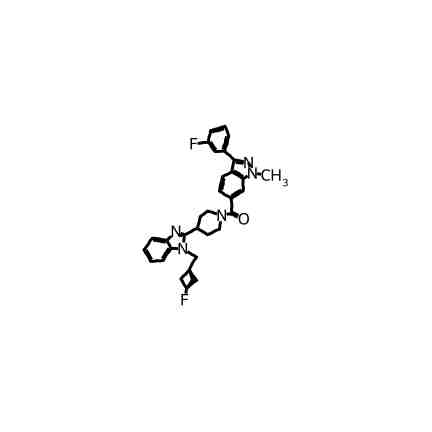 Cn1nc(-c2cccc(F)c2)c2ccc(C(=O)N3CCC(c4nc5ccccc5n4CC45CC(F)(C4)C5)CC3)cc21